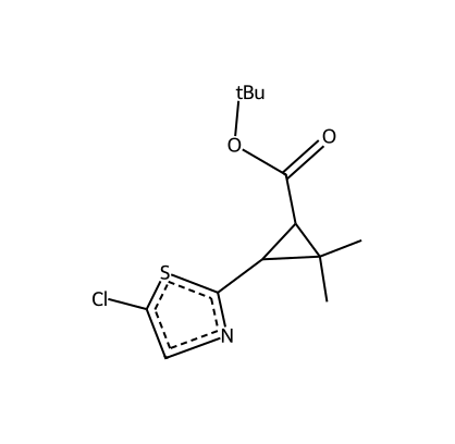 CC(C)(C)OC(=O)C1C(c2ncc(Cl)s2)C1(C)C